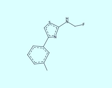 Cc1cccc(-c2csc(NCF)n2)c1